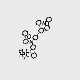 CC1(C)c2ccccc2-c2ccc(N(c3ccc(-c4cccc(-c5ccccc5-n5c6ccccc6c6ccccc65)c4)cc3)c3cccc4c3oc3ccccc34)cc21